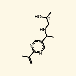 C=C(C)c1ncc(C(C)NC[C@H](C)O)cn1